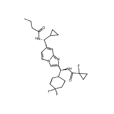 CCCC(=O)N[C@@H](c1cnn2cc([C@@H](NC(=O)C3(F)CC3)C3CCC(F)(F)CC3)nc2c1)C1CC1